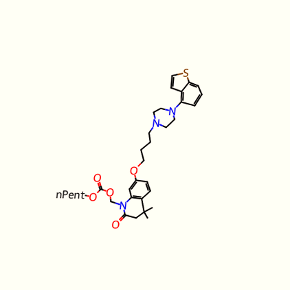 CCCCCOC(=O)OCN1C(=O)CC(C)(C)c2ccc(OCCCCN3CCN(c4cccc5sccc45)CC3)cc21